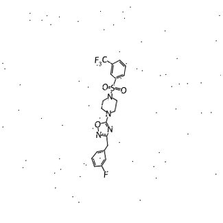 O=S(=O)(c1cccc(C(F)(F)F)c1)N1CCN(c2nc(Cc3cccc(F)c3)no2)CC1